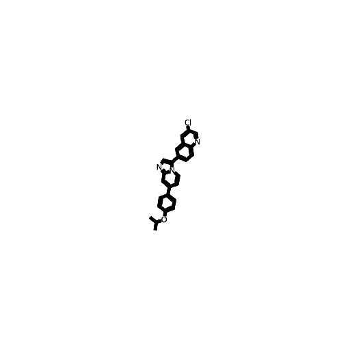 CC(C)Oc1ccc(-c2ccn3c(-c4ccc5ncc(Cl)cc5c4)cnc3c2)cc1